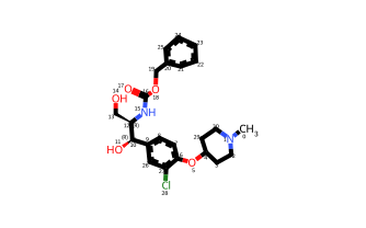 CN1CCC(Oc2ccc([C@@H](O)[C@@H](CO)NC(=O)OCc3ccccc3)cc2Cl)CC1